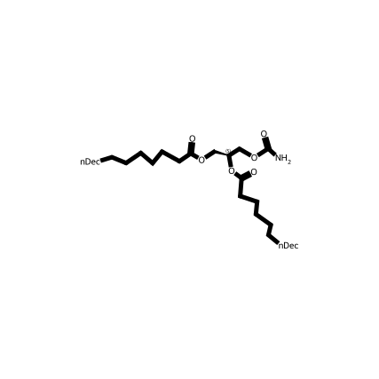 CCCCCCCCCCCCCCCCC(=O)OC[C@@H](COC(N)=O)OC(=O)CCCCCCCCCCCCCCC